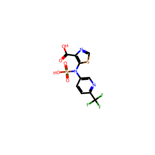 O=C(O)c1ncsc1N(c1ccc(C(F)(F)F)nc1)S(=O)(=O)O